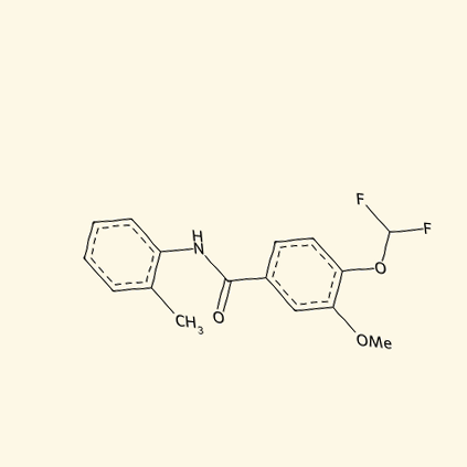 COc1cc(C(=O)Nc2ccccc2C)ccc1OC(F)F